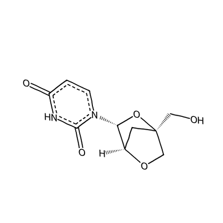 O=c1ccn([C@@H]2O[C@@]3(CO)CO[C@@H]2C3)c(=O)[nH]1